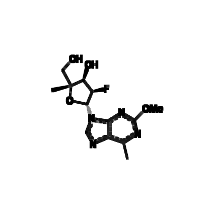 COc1nc(C)c2ncn([C@@H]3O[C@](C)(CO)[C@@H](O)[C@H]3F)c2n1